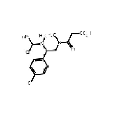 CCCC(Cl)N(C)C(CN(C)C(=O)CC(=O)O)c1ccc(Cl)cc1